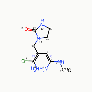 N/C(Cl)=C(\C=C(/N)NC=O)CN1CCNC1=O